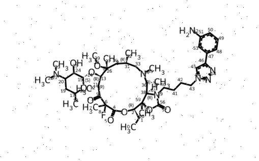 CC[C@H]1OC(=O)C(C)(F)C(=O)[C@H](C)[C@@H](O[C@@H]2OC(C)CC(N(C)C)C2O)[C@](C)(OC)C[C@@H](C)CN(C)[C@H](C)[C@H]2N(CCCCn3cc(-c4cccc(N)c4)nn3)C(=O)O[C@]12C